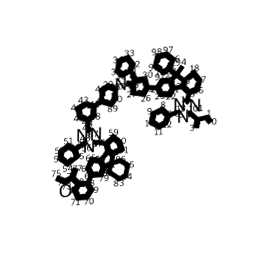 C=CC(=C)c1nc(-c2ccccc2)nc(-c2cccc3c2-c2ccc(-c4ccc5c(c4)c4ccccc4n5-c4ccc(-c5cccc(-c6nc(-c7ccccc7)nc(-c7cccc8c7-c7ccc(-c9cccc%10oc(=C)c(=C)c9%10)cc7C87CCCCC7)n6)c5)cc4)cc2C3(C)c2ccccc2)n1